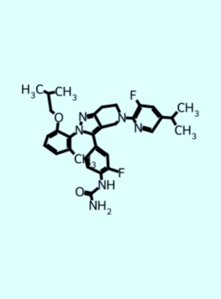 Cc1cccc(OCC(C)C)c1-n1nc2c(c1-c1ccc(NC(N)=O)c(F)c1)CN(c1ncc(C(C)C)cc1F)CC2